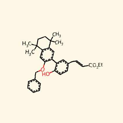 CCOC(=O)/C=C/c1ccc(O)c(-c2cc3c(cc2OCc2ccccc2)C(C)(C)CCC3(C)C)c1